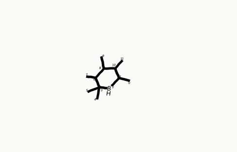 CC1BC(C)(C)C(C)C(C)C1C